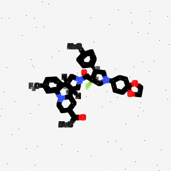 COC(=O)C1CCN2c3cc(C(F)(F)F)ccc3[C@H]3CN(C(=O)[C@]4(F)CN(C5CCC6(CC5)OCCO6)C[C@H]4c4ccc(OC)cc4)C[C@@H]3C2C1